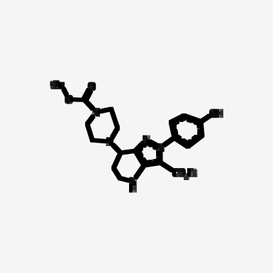 CCOC(=O)c1c2c(nn1-c1ccc(O)cc1)C(N1CCN(C(=O)OC(C)(C)C)CC1)CCN2